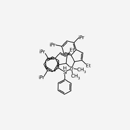 CCC1=Cc2c(C(C)C)cc(C(C)C)cc2[CH]1[Zr]([CH3])([CH3])([CH]1C(CC)=Cc2c(C(C)C)cc(C(C)C)cc21)[SiH](c1ccccc1)c1ccccc1